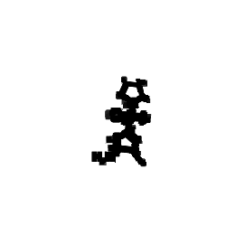 Cc1cc(S(=O)(=O)N2CCCC2)sc1N